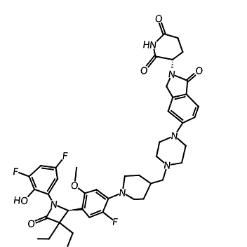 CCC1(CC)C(=O)N(c2cc(F)cc(F)c2O)[C@H]1c1cc(F)c(N2CCC(CN3CCN(c4ccc5c(c4)CN([C@H]4CCC(=O)NC4=O)C5=O)CC3)CC2)cc1OC